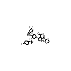 NC(=O)c1c(-c2ccc(NS(=O)(=O)CC(F)(F)F)c(OC3(c4ccc(F)cc4)CC3)c2)n[nH]c1Nc1cnccn1